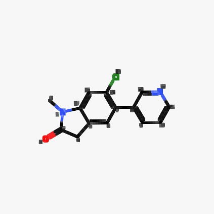 CN1C(=O)Cc2cc(-c3cccnc3)c(Cl)cc21